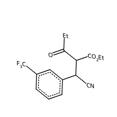 CCOC(=O)C(C(=O)CC)C(C#N)c1cccc(C(F)(F)F)c1